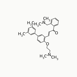 Cc1cc(C)cc(-c2ccc(OCCN(C)C)c(C=CC(=O)c3ccccc3CN(C)C)c2)c1